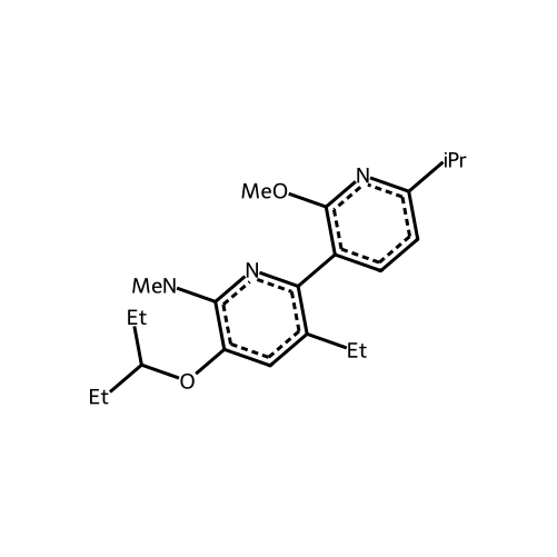 CCc1cc(OC(CC)CC)c(NC)nc1-c1ccc(C(C)C)nc1OC